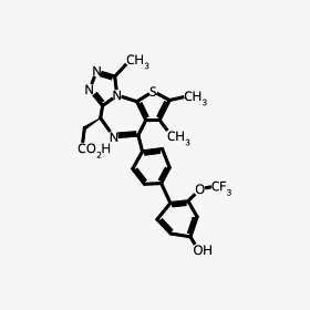 Cc1sc2c(c1C)C(c1ccc(-c3ccc(O)cc3OC(F)(F)F)cc1)=N[C@@H](CC(=O)O)c1nnc(C)n1-2